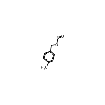 Cc1ccc(CON=O)cc1